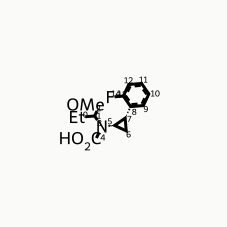 CCC(OC)N(C(=O)O)[C@H]1C[C@H]1c1ccccc1F